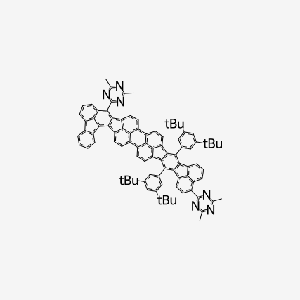 Cc1nc(C)nc(-c2ccc3c4c(-c5cc(C(C)(C)C)cc(C(C)(C)C)c5)c5c6ccc7c8ccc9c%10c(ccc(c%11ccc(c5c(-c5cc(C(C)(C)C)cc(C(C)(C)C)c5)c4c4cccc2c43)c6c%117)c8%10)c2c(-c3nc(C)nc(C)n3)c3cccc4c5ccccc5c(c34)c92)n1